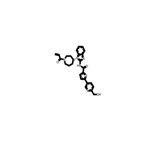 C=CC(=O)N1CCC[C@@H](n2c(NC(=O)c3ccc(-c4ccc(CO)nc4)s3)nc3ccccc32)CC1